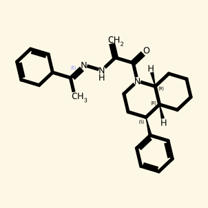 C=C(N/N=C(\C)C1C=CC=CC1)C(=O)N1CC[C@H](c2ccccc2)[C@H]2CCCC[C@H]21